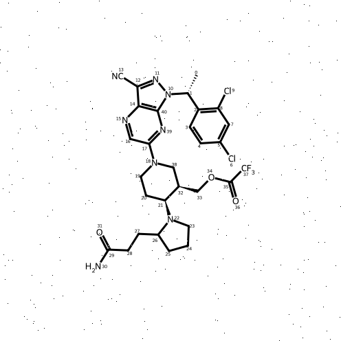 C[C@H](c1ccc(Cl)cc1Cl)n1nc(C#N)c2ncc(N3CC[C@H](N4CCCC4CCC(N)=O)[C@H](COC(=O)C(F)(F)F)C3)nc21